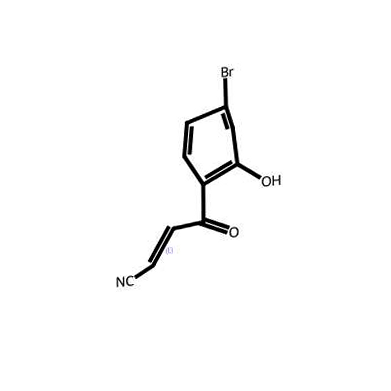 N#C/C=C/C(=O)c1ccc(Br)cc1O